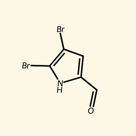 O=Cc1cc(Br)c(Br)[nH]1